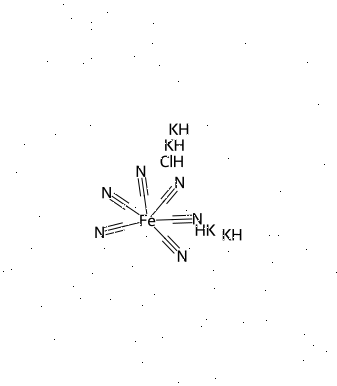 Cl.N#[C][Fe]([C]#N)([C]#N)([C]#N)([C]#N)[C]#N.[KH].[KH].[KH].[KH]